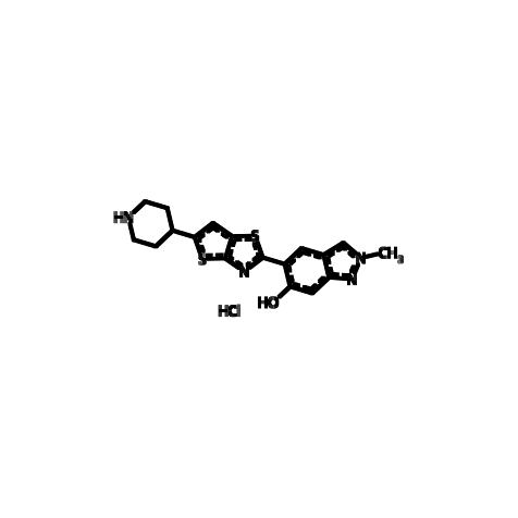 Cl.Cn1cc2cc(-c3nc4sc(C5CCNCC5)cc4s3)c(O)cc2n1